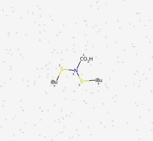 CCC(C)SN(SC(C)CC)C(=O)O